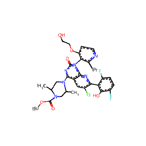 CC(C)c1nccc(OCCO)c1-n1c(=O)nc(N2CC(C)N(C(=O)OC(C)(C)C)CC2C)c2cc(Cl)c(-c3c(F)ccc(F)c3O)nc21